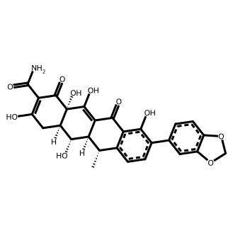 C[C@H]1c2ccc(-c3ccc4c(c3)OCO4)c(O)c2C(=O)C2=C(O)[C@]3(O)C(=O)C(C(N)=O)=C(O)C[C@@H]3[C@@H](O)[C@@H]21